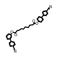 N#Cc1ccc(-c2ccc(OC(=O)CCCCCCCCC(=O)Oc3cccc(-c4ccc(C#N)cc4)c3)cc2)cc1